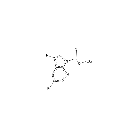 CC(C)(C)OC(=O)n1cc(I)c2cc(Br)cnc21